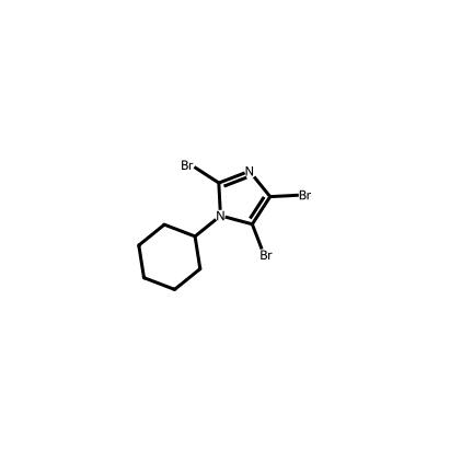 Brc1nc(Br)n(C2CCCCC2)c1Br